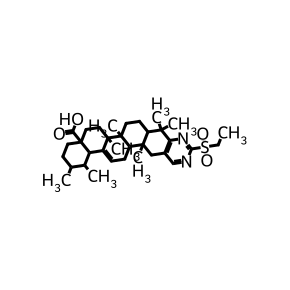 CCS(=O)(=O)c1ncc2c(n1)C(C)(C)C1CCC3(C)C(CC=C4C5C(C)C(C)CCC5(C(=O)O)CCC43C)C1(C)C2